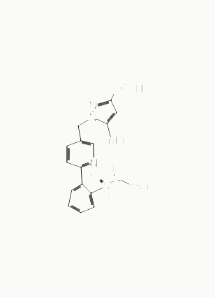 CCCc1cc(C(=O)O)nn1Cc1ccc(-c2ccccc2S(=O)(=O)NC(C)(C)C)nc1